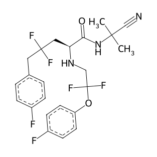 CC(C)(C#N)NC(=O)[C@H](CC(F)(F)Cc1ccc(F)cc1)NCC(F)(F)Oc1ccc(F)cc1